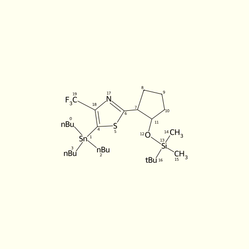 CCC[CH2][Sn]([CH2]CCC)([CH2]CCC)[c]1sc(C2CCCC2O[Si](C)(C)C(C)(C)C)nc1C(F)(F)F